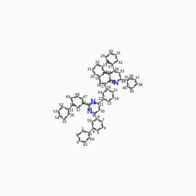 c1ccc(-c2cccc(-c3cc(-c4cccc(-c5cc6ccccc6c6c(-c7ccccc7)cc(-c7ccccc7)nc56)c4)nc(-c4cccc(-c5ccccc5)c4)n3)c2)cc1